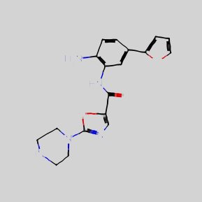 Nc1ccc(-c2ccco2)cc1NC(=O)c1cnc(N2CCNCC2)o1